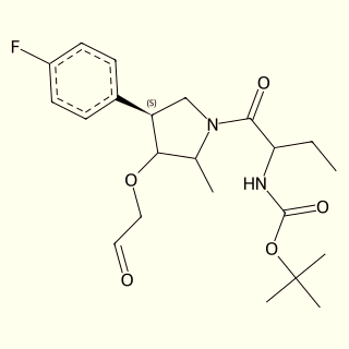 CCC(NC(=O)OC(C)(C)C)C(=O)N1C[C@H](c2ccc(F)cc2)C(OCC=O)C1C